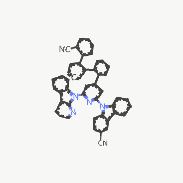 N#Cc1ccc2c(c1)c1ccccc1n2-c1cc(-c2ccccc2-c2ccccc2-c2ccccc2C#N)cc(-n2c3ccccc3c3cccnc32)n1